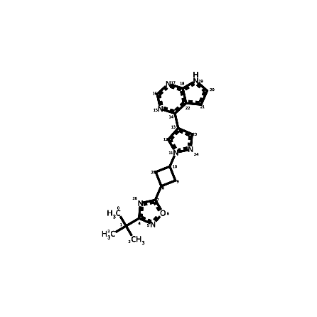 CC(C)(C)c1noc(C2CC(n3cc(-c4ncnc5[nH]ccc45)cn3)C2)n1